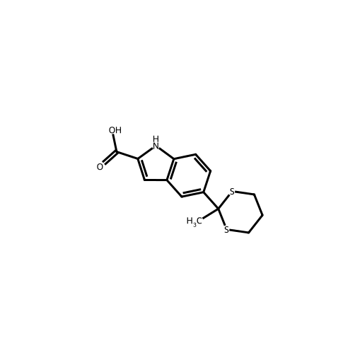 CC1(c2ccc3[nH]c(C(=O)O)cc3c2)SCCCS1